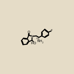 N[C@H](CN1C(=O)c2ccccc2C1O)c1ccc(F)cc1